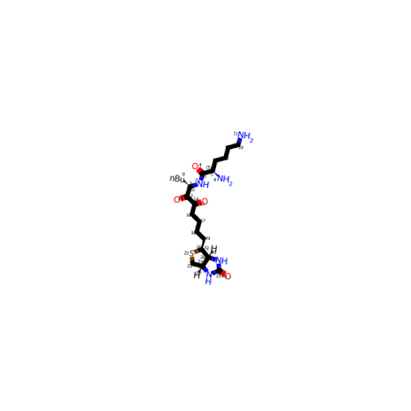 CCCC[C@H](NC(=O)[C@@H](N)CCCCN)C(=O)C(=O)CCCC[C@@H]1SC[C@@H]2NC(=O)N[C@@H]21